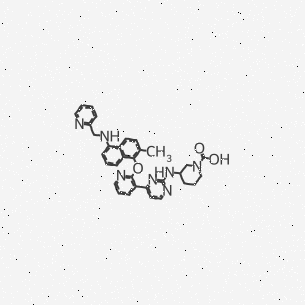 Cc1ccc2c(NCc3ccccn3)cccc2c1Oc1ncccc1-c1ccnc(NC2CCCN(C(=O)O)C2)n1